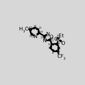 CCS(=O)(=O)c1cc(C(F)(F)F)ccc1-c1nc(-c2ccc(C)cn2)no1